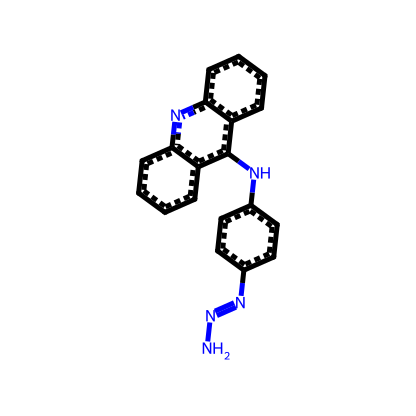 NN=Nc1ccc(Nc2c3ccccc3nc3ccccc23)cc1